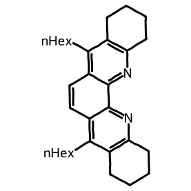 CCCCCCc1c2c(nc3c1ccc1c(CCCCCC)c4c(nc13)CCCC4)CCCC2